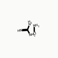 N=C(N)N.NCl